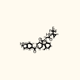 Cc1cccc2c1C1(CCN(C(=O)c3ccc4[nH]ncc4c3)CC1)C(=O)N2CC(=O)NC1(C(F)(F)F)CC1